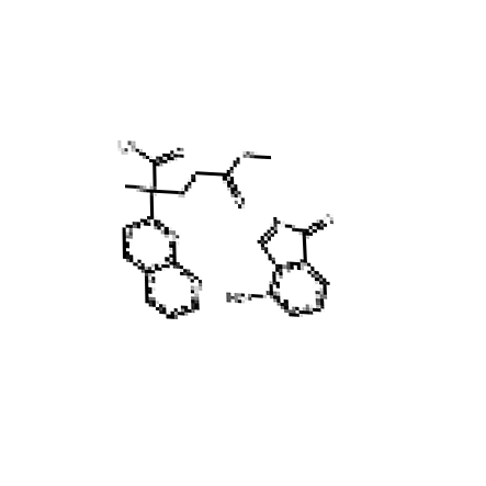 COC(=O)CCC(C)(C(N)=O)c1ccc2ccccc2n1.O=C1N=Cc2c(O)cccc21